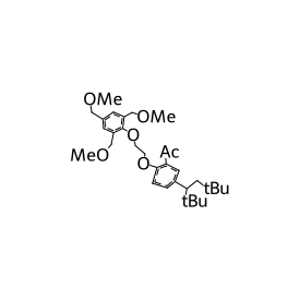 COCc1cc(COC)c(OCCOc2ccc(C(CC(C)(C)C)C(C)(C)C)cc2C(C)=O)c(COC)c1